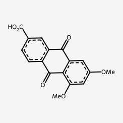 COc1cc(OC)c2c(c1)C(=O)c1cc(C(=O)O)ccc1C2=O